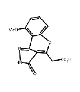 COc1cccc2oc(CC(=O)O)c3c(=O)[nH]nc-3c12